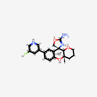 C[C@]12CCCO[C@@H]1[C@]1(COC(N)=N1)c1cc(-c3cncc(F)c3)ccc1O2